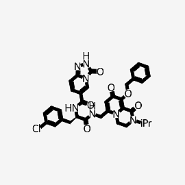 CC(C)N1CCn2c(CNC(=O)[C@@H](Cc3cccc(Cl)c3)NC(=O)c3ccc4n[nH]c(=O)n4c3)cc(=O)c(OCc3ccccc3)c2C1=O